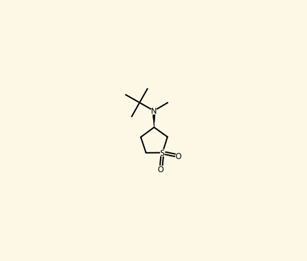 CN([C@@H]1CCS(=O)(=O)C1)C(C)(C)C